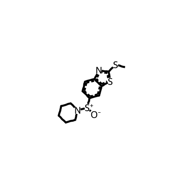 CSc1nc2ccc([S+]([O-])N3CCCCC3)cc2s1